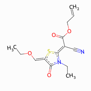 C=CCOC(=O)C(C#N)=c1sc(=COCC)c(=O)n1CC